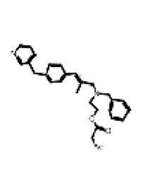 CC(=O)CC(=O)OCCN(C/C(C)=C/c1ccc(Cc2cccnc2)cc1)Cc1ccccc1